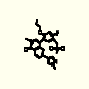 CCCOc1cc(F)c(CS(C)(=O)=O)cc1-c1cn(C)c(=O)c2ccc(-c3cnn(C)c3)cc12